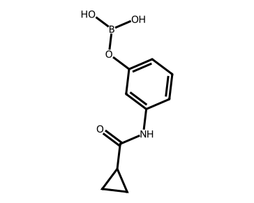 O=C(Nc1cccc(OB(O)O)c1)C1CC1